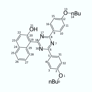 CCCCOc1ccc(-c2nc(-c3ccc(OCCCC)cc3)nc(-c3c(O)ccc4ccccc34)n2)cc1